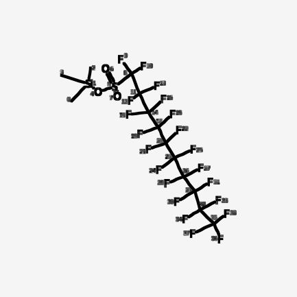 C[Si](C)(C)OS(=O)(=O)C(F)(F)C(F)(F)C(F)(F)C(F)(F)C(F)(F)C(F)(F)C(F)(F)C(F)(F)C(F)(F)C(F)(F)F